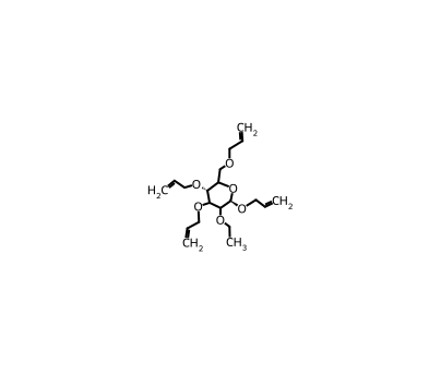 C=CCOCC1O[C@@H](OCC=C)C(OCC)C(OCC=C)[C@@H]1OCC=C